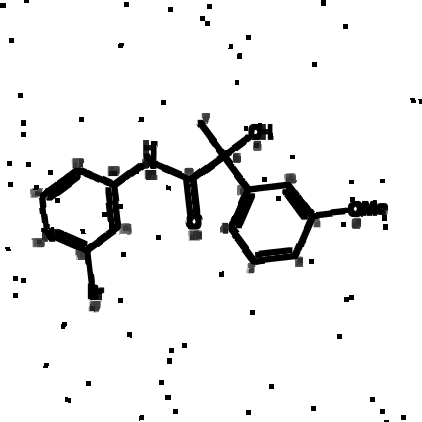 COc1cccc(C(C)(O)C(=O)Nc2ccnc(Br)c2)c1